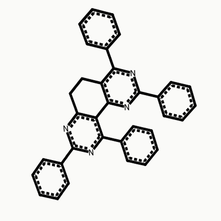 c1ccc(-c2nc(-c3ccccc3)c3c(n2)-c2c(nc(-c4ccccc4)nc2-c2ccccc2)CC3)cc1